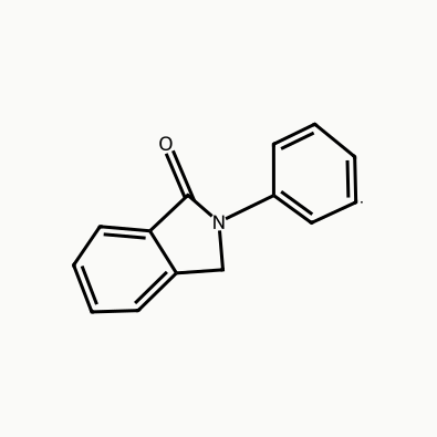 O=C1c2ccccc2CN1c1c[c]ccc1